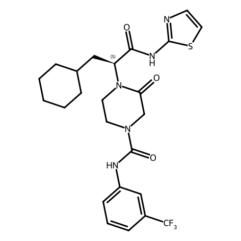 O=C(Nc1nccs1)[C@H](CC1CCCCC1)N1CCN(C(=O)Nc2cccc(C(F)(F)F)c2)CC1=O